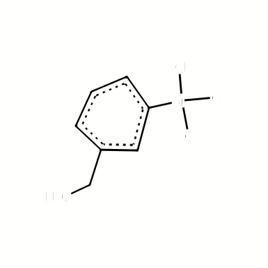 CCc1cccc([Si](Cl)(Cl)Cl)c1